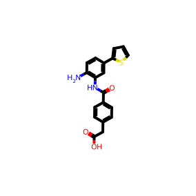 Nc1ccc(-c2cccs2)cc1NC(=O)c1ccc(CC(=O)O)cc1